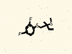 C=CC(C)(CSc1ccc(F)cc1F)SC